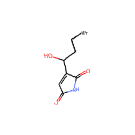 CC(C)CCC(O)C1=CC(=O)NC1=O